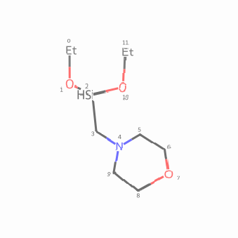 CCO[SiH](CN1CCOCC1)OCC